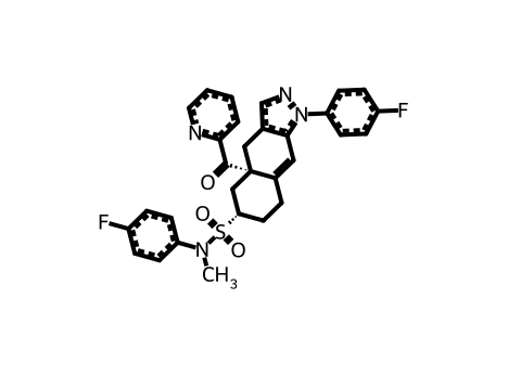 CN(c1ccc(F)cc1)S(=O)(=O)[C@H]1CCC2=Cc3c(cnn3-c3ccc(F)cc3)C[C@]2(C(=O)c2ccccn2)C1